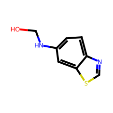 OCNc1ccc2ncsc2c1